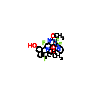 C#Cc1c(F)ccc2cc(O)cc(-c3nc(OC(C)C)c4c(N5CC6CCC(C5)N6C(=O)C(F)(F)F)nc(OC)nc4c3F)c12